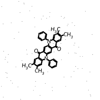 Cc1cc2c(=O)c3cc4c(cc3n(-c3ccccc3)c2cc1C)c(=O)c1cc(C)c(C)cc1n4-c1ccccc1